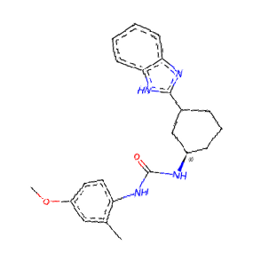 COc1ccc(NC(=O)N[C@@H]2CCCC(c3nc4ccccc4[nH]3)C2)c(C)c1